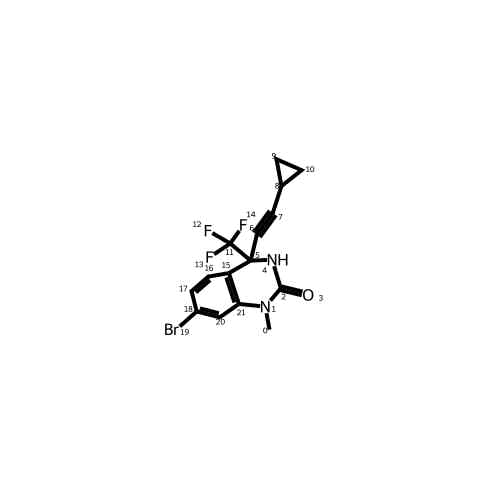 CN1C(=O)NC(C#CC2CC2)(C(F)(F)F)c2ccc(Br)cc21